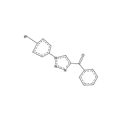 CC(C)c1ccc(-n2cc(C(=O)c3ccccc3)nn2)cc1